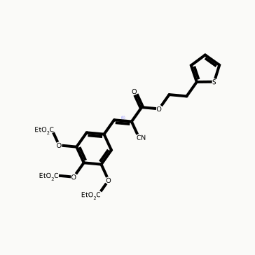 CCOC(=O)Oc1cc(/C=C(\C#N)C(=O)OCCc2cccs2)cc(OC(=O)OCC)c1OC(=O)OCC